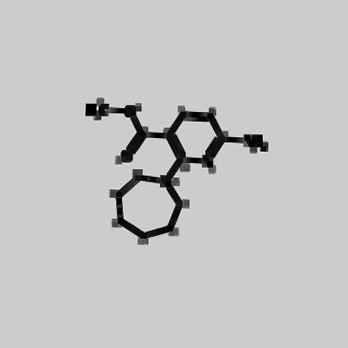 COC(=O)c1ccc(N)nc1N1CCCCCC1